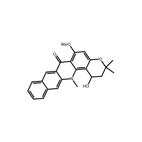 COc1cc2c(c3c1c(=O)c1cc4ccccc4cc1n3C)C(O)[CH]C(C)(C)O2